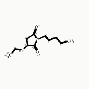 CCCCCN1C(=O)CC(SCC)C1=O